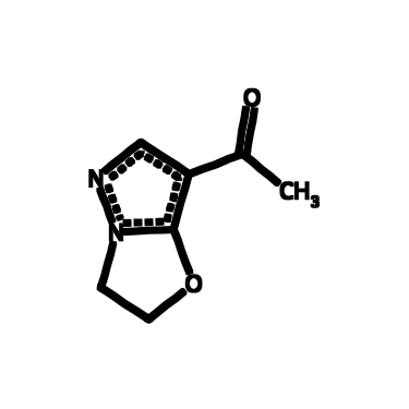 CC(=O)c1cnn2c1OCC2